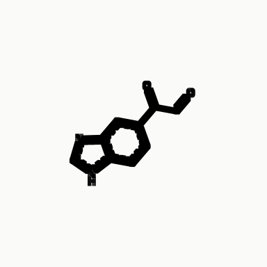 O=CC(=O)c1ccc2[nH]cnc2c1